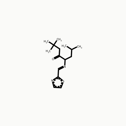 CC(C)CC(N=Cc1nccs1)C(=O)CC(C)(C)C